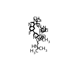 CC(C)NCCOc1ncc(-c2cc3c4c(cnc3cc2F)N(C)C(=O)C42CN(c3ncccn3)C2)cc1NS(C)(=O)=O.Cl